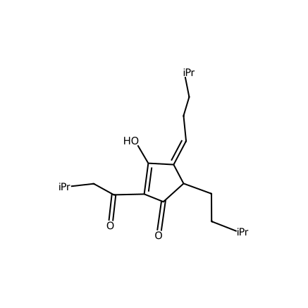 CC(C)CC/C=C1\C(O)=C(C(=O)CC(C)C)C(=O)C1CCC(C)C